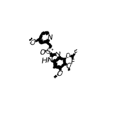 COc1ccnc(C[S+]([O-])c2nc3c(OC(F)F)c(OC)c(OC)cc3[nH]2)c1